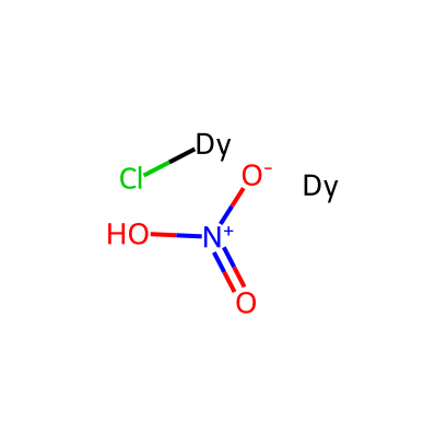 O=[N+]([O-])O.[Cl][Dy].[Dy]